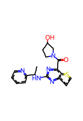 CC(Nc1nc(C(=O)N2CCC(O)C2)c2sccc2n1)c1ccccn1